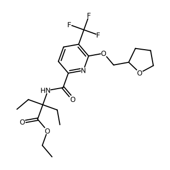 CCOC(=O)C(CC)(CC)NC(=O)c1ccc(C(F)(F)F)c(OCC2CCCO2)n1